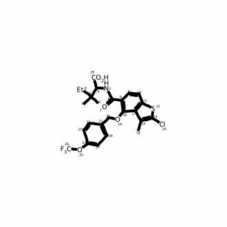 CCC(C)(C)C(NC(=O)c1ccc2sc(Cl)c(C)c2c1OCc1ccc(OC(F)(F)F)cc1)C(=O)O